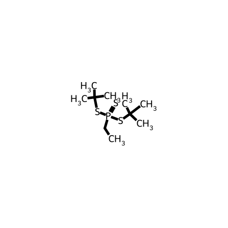 CCP(=S)(SC(C)(C)C)SC(C)(C)C